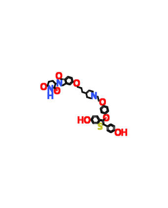 O=C1CCC(N2Cc3cc(OCCCC4CCN(CCOc5ccc(Oc6c(-c7ccc(O)cc7)sc7cc(O)ccc67)cc5)CC4)ccc3C2=O)C(=O)N1